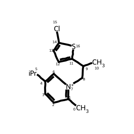 Cc1ccc(C(C)C)c[n+]1CC(C)c1ccc(Cl)s1